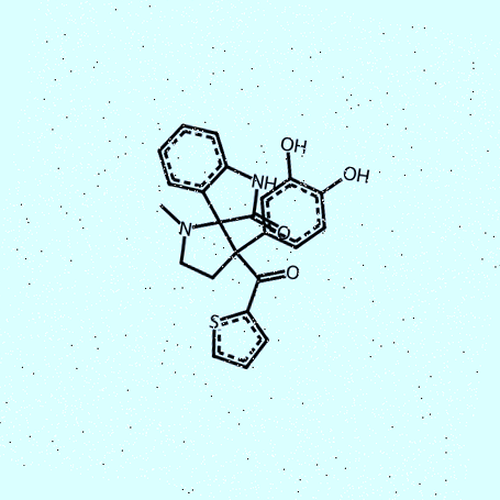 CN1CCC(C(=O)c2cccs2)(c2ccc(O)c(O)c2)C12C(=O)Nc1ccccc12